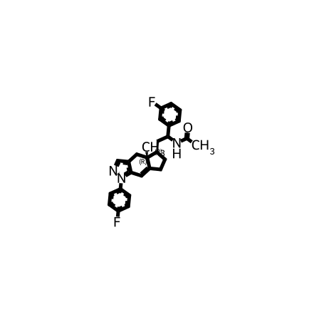 CC(=O)NC(C[C@H]1CCC2=Cc3c(cnn3-c3ccc(F)cc3)C[C@@]21C)c1cccc(F)c1